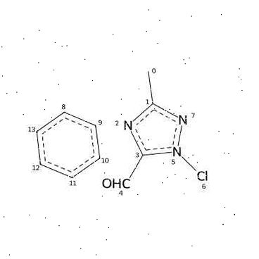 Cc1nc(C=O)n(Cl)n1.c1ccccc1